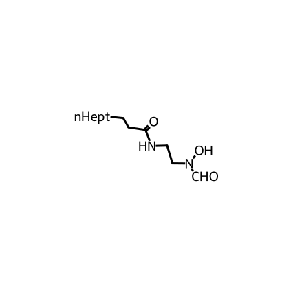 CCCCCCCCCC(=O)NCCN(O)C=O